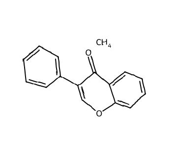 C.O=c1c(-c2ccccc2)coc2ccccc12